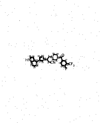 N#CCC(CN1CCN(C(=O)c2ccc(F)c(C(F)(F)F)c2)CC1)n1cc(-c2ncnc3[nH]ccc23)cn1